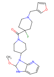 COC1Nc2cccnc2N1C1CCN(C(=O)C2(F)CCN(Cc3ccoc3)CC2)CC1